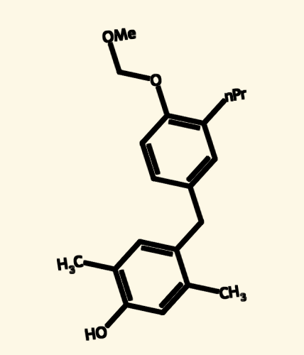 CCCc1cc(Cc2cc(C)c(O)cc2C)ccc1OCOC